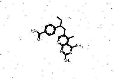 CCC(Cc1cnc2nc(N)nc(N)c2c1C)c1ccc(C(=O)O)cc1